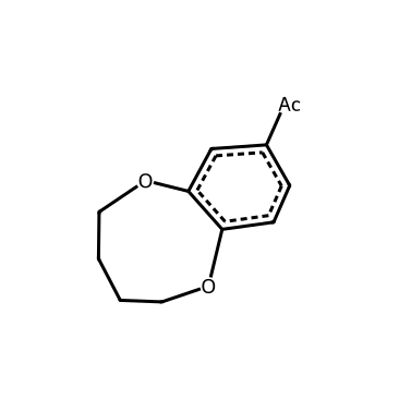 CC(=O)c1ccc2c(c1)OCCCCO2